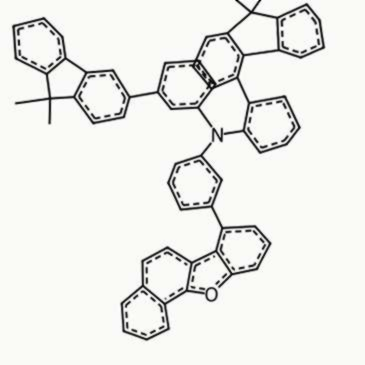 CC1(C)c2ccccc2-c2cc(-c3cccc(N(c4cccc(-c5cccc6oc7c8ccccc8ccc7c56)c4)c4ccccc4-c4cccc5c4-c4ccccc4C5(C)C)c3)ccc21